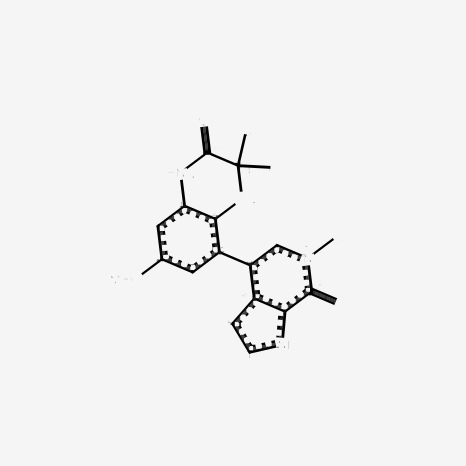 COc1cc2c(c(-c3cn(C)c(=O)c4[nH]ccc34)c1)OC(C)(C)C(=O)N2